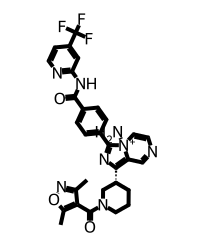 Cc1noc(C)c1C(=O)N1CCC[C@@H](C2=C3C=NC=C[N+]3(N)C(c3ccc(C(=O)Nc4cc(C(F)(F)F)ccn4)cc3)=N2)C1